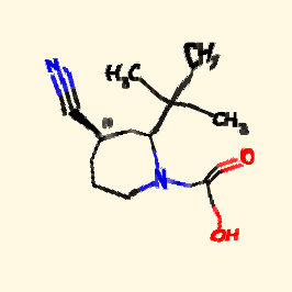 CC(C)(C)C1[C@H](C#N)CCN1C(=O)O